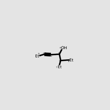 [CH2]CC#CC(O)C(CC)CC